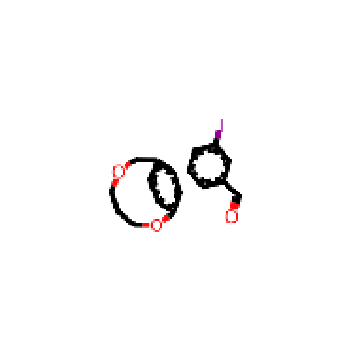 O=Cc1cccc(I)c1.c1cc2ccc1COCCCO2